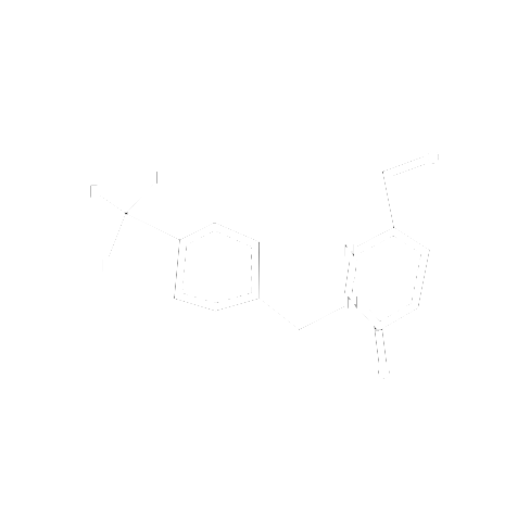 O=Cc1ccc(=O)n(Cc2ccc(C(F)(F)F)cc2)n1